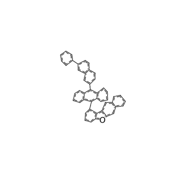 c1ccc(-c2ccc3ccc(-c4c5ccccc5c(-c5cccc6oc7cc8ccccc8cc7c56)c5ccccc45)cc3c2)cc1